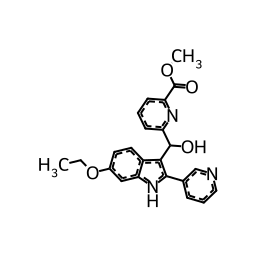 CCOc1ccc2c(C(O)c3cccc(C(=O)OC)n3)c(-c3cccnc3)[nH]c2c1